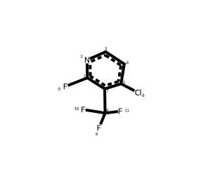 Fc1nccc(Cl)c1C(F)(F)F